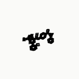 O=C([C@@H]1C[C@H]1c1ccccc1)N1CCC(CNc2cc(-c3ccccc3Cl)nc3c(Br)cnn23)CC1